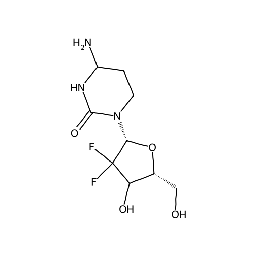 NC1CCN([C@@H]2O[C@H](CO)C(O)C2(F)F)C(=O)N1